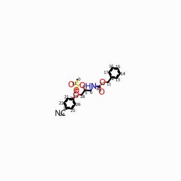 CS(=O)(=O)OC(CNC(=O)OCc1ccccc1)COc1ccc(C#N)cc1